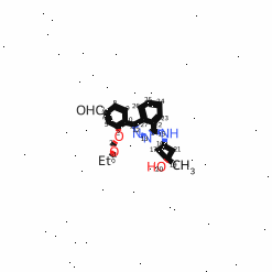 CCOCOc1cc(C=O)ccc1-c1nnc(NC2CC(C)(O)C2)c2ccccc12